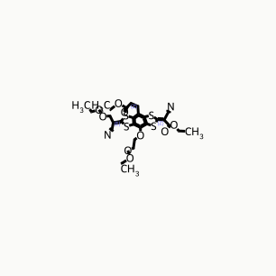 CCOOCCOc1c2c(c(/C=C\C(=O)OCC)c3c1S/C(=C(\C#N)COOCC)S3)S/C(=C(\C#N)C(=O)OCC)S2